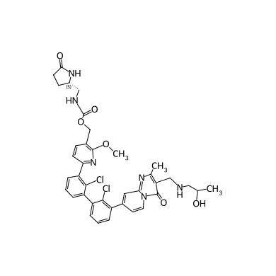 COc1nc(-c2cccc(-c3cccc(-c4ccn5c(=O)c(CNCC(C)O)c(C)nc5c4)c3Cl)c2Cl)ccc1COC(=O)NC[C@@H]1CCC(=O)N1